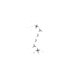 CCCCCCOC(CCCCCC)(OCCCCCC)OC(CCCCC)OCOCOC(CCCCC)OC(CCCCCC)(OCCCCCC)OCCCCCC